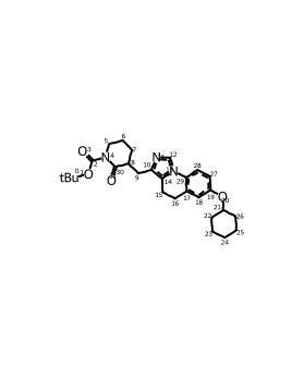 CC(C)(C)OC(=O)N1CCCC(Cc2ncn3c2CCc2cc(OC4CCCCC4)ccc2-3)C1=O